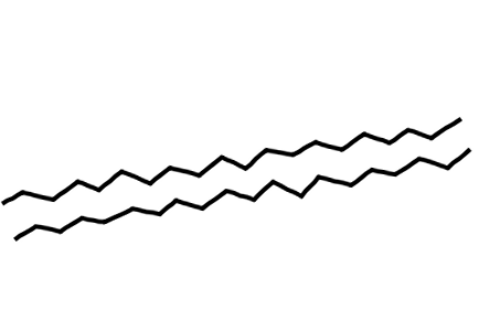 CCCCCCCCCCCCCCCCCCCC.CCCCCCCCCCCCCCCCCCCC